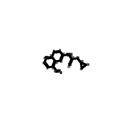 Nc1ccnc2ccc(NC(=O)CC3CC3)cc12